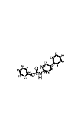 O=C(Nc1ncc(-c2ccccc2)cn1)Oc1ccccc1